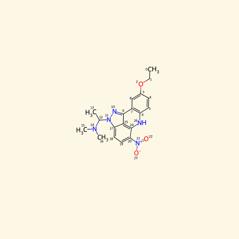 CCOc1ccc2c(c1)-c1nn(C(C)N(C)C)c3ccc([N+](=O)[O-])c(c13)N2